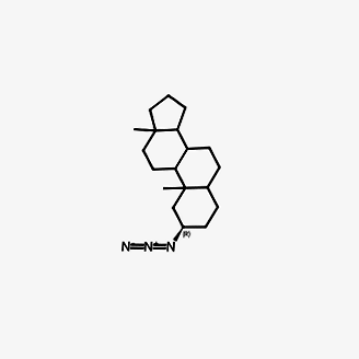 CC12CCCC1C1CCC3CC[C@@H](N=[N+]=[N-])CC3(C)C1CC2